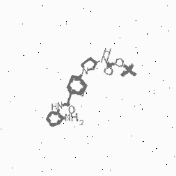 CC(C)(C)OC(=O)N[C@H]1CCN(c2ccc(C(=O)Nc3ccccc3N)cc2)C1